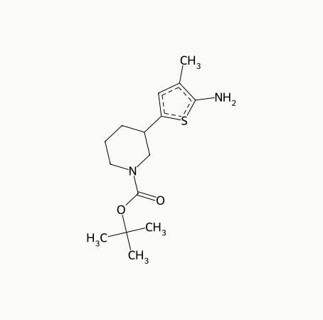 Cc1cc(C2CCCN(C(=O)OC(C)(C)C)C2)sc1N